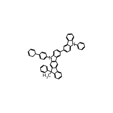 CC1(c2ccccc2)c2ccccc2-c2cc3c4cc(-c5ccc6c(c5)c5ccccc5n6-c5ccccc5)ccc4n(-c4ccc(C5C=CC=CC5)cc4)c3cc21